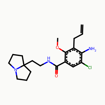 C=CCc1c(N)c(Cl)cc(C(=O)NCCC23CCCN2CCC3)c1OC